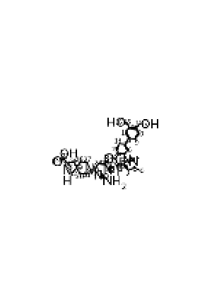 Cc1ccn(-c2cc(-c3ccc(CO)c(CO)c3)ccc2C(Oc2cc(N3CCC4(CC3)CNC(C(=O)O)C4)nc(N)n2)C(F)(F)F)n1